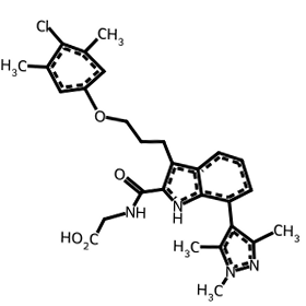 Cc1cc(OCCCc2c(C(=O)NCC(=O)O)[nH]c3c(-c4c(C)nn(C)c4C)cccc23)cc(C)c1Cl